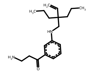 C=CC(CCC)(CCC)CNc1cccc(C(=O)CCN)c1